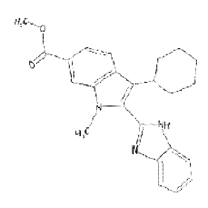 COC(=O)c1ccc2c(C3CCCCC3)c(-c3nc4ccccc4[nH]3)n(C)c2c1